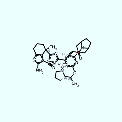 C=CC(=O)N1C2CCC1CN(c1cc(-c3noc([C@@]4(C)CCCc5sc(N)c(C#N)c54)n3)nc(O[C@@H](C)[C@@H]3CCCN3C)n1)C2